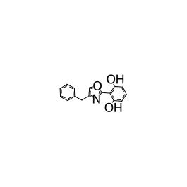 Oc1cccc(O)c1-c1nc(Cc2ccccc2)co1